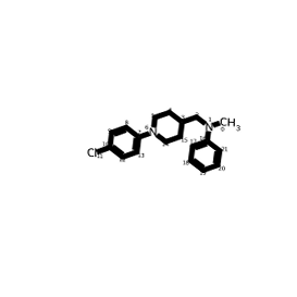 CN(CC1CCN(c2[c]cc(Cl)cc2)CC1)c1ccccc1